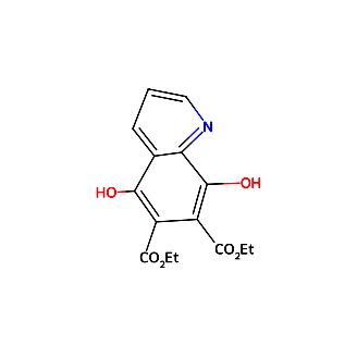 CCOC(=O)c1c(C(=O)OCC)c(O)c2ncccc2c1O